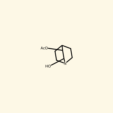 CC(=O)OC1C2CCN(CC2)C1O